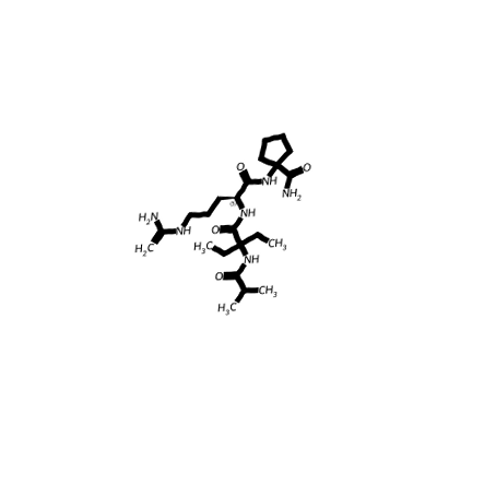 C=C(N)NCCC[C@H](NC(=O)C(CC)(CC)NC(=O)C(C)C)C(=O)NC1(C(N)=O)CCCC1